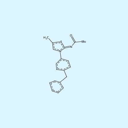 Cc1cn(-c2ccc(Cc3ccccc3)cc2)c(=NC(=O)C(C)(C)C)s1